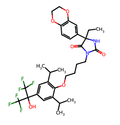 CCC1(c2ccc3c(c2)OCCO3)NC(=O)N(CCCCOc2c(C(C)C)cc(C(O)(C(F)(F)F)C(F)(F)F)cc2C(C)C)C1=O